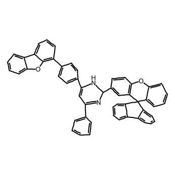 C1=C(c2ccc(-c3cccc4c3oc3ccccc34)cc2)NC(c2ccc3c(c2)C2(c4ccccc4O3)c3ccccc3-c3ccccc32)N=C1c1ccccc1